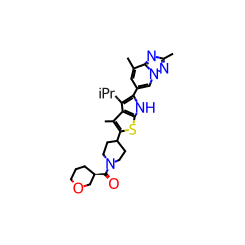 Cc1nc2c(C)cc(-c3[nH]c4sc(C5CCN(C(=O)[C@@H]6CCCOC6)CC5)c(C)c4c3C(C)C)cn2n1